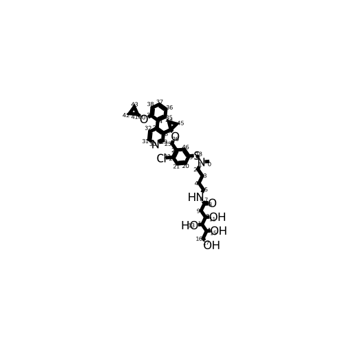 CN(CCCCNC(=O)CC(O)C(O)C(O)CO)Sc1ccc(Cl)c(COC2(c3cnccc3-c3ccccc3OC3CC3)CC2)c1